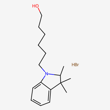 Br.CC1N(CCCCCCO)c2ccccc2C1(C)C